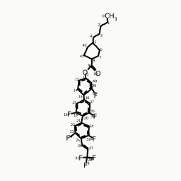 CCCCCC1CCC(C(=O)Oc2ccc(-c3cc(F)c(-c4cc(F)c(/C=C/C(F)(F)F)c(F)c4)c(F)c3)c(F)c2)CC1